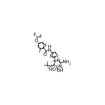 Cc1cc(OC(F)F)cnc1C(=O)Nc1csc([C@@]2(C)N=C(N)N(C)S(O)(O)[C@@H]2[C@@H]2CC2(C)C)n1